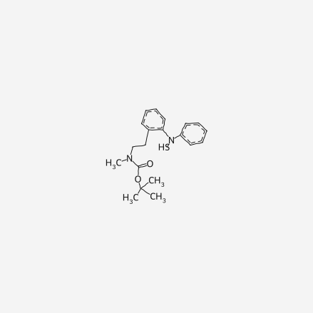 CN(CCc1ccccc1N(S)c1ccccc1)C(=O)OC(C)(C)C